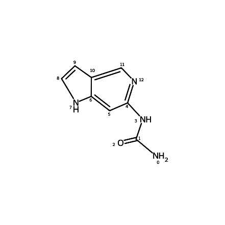 NC(=O)Nc1cc2[nH]ccc2cn1